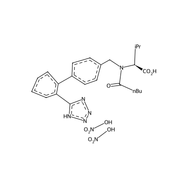 CCCCC(=O)N(Cc1ccc(-c2ccccc2-c2nnn[nH]2)cc1)[C@H](C(=O)O)C(C)C.O=[N+]([O-])O.O=[N+]([O-])O